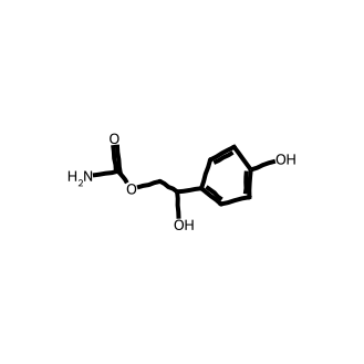 NC(=O)OCC(O)c1ccc(O)cc1